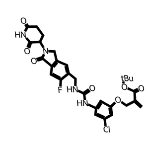 C=C(COc1cc(Cl)cc(NC(=O)NCc2cc3c(cc2F)C(=O)N(C2CCC(=O)NC2=O)C3)c1)C(=O)OC(C)(C)C